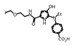 CCN(c1ccc(C(=O)O)cc1)c1[nH]c(C(=O)NCCOCI)cc1O